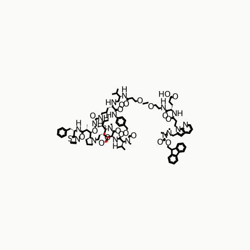 CC[C@H](C)[C@@H]([C@@H](CC(=O)N1CCC[C@H]1[C@H](OC)[C@@H](C)C(=O)N[C@@H](Cc1ccccc1)c1nccs1)OC)N(C)C(=O)[C@@H](NC(=O)[C@H](C(C)C)N(C)C(=O)OCc1ccc(NC(=O)[C@H](CCCNC(N)=O)NC(=O)[C@@H](NC(=O)CCOCCOCCNC(=O)[C@H](CCC(=O)O)NC(=O)CCn2c(CN(C)N(C)C(=O)OCC3c4ccccc4-c4ccccc43)cc3cccnc32)C(C)C)cc1)C(C)C